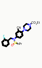 CCC[S+]([O-])N(Cc1ccccc1F)c1ccc(N2CCN(C(=O)OCC)CC2)c(C#N)c1